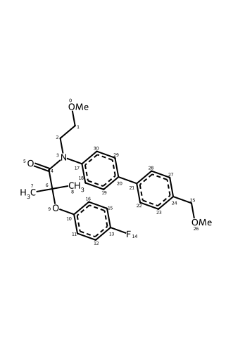 COCCN(C(=O)C(C)(C)Oc1ccc(F)cc1)c1ccc(-c2ccc(COC)cc2)cc1